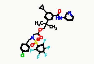 CC(C)(COC(=O)CN(Cc1ccc(Cl)cc1)S(=O)(=O)c1c(F)c(F)c(F)c(F)c1F)c1cc(C(=O)Nc2cccnc2)cc(C2CC2)c1